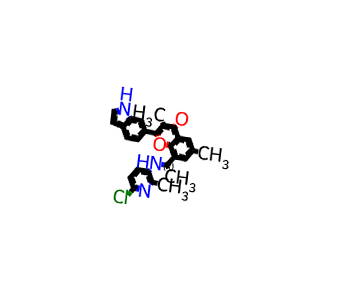 Cc1cc([C@@H](C)Nc2ccc(Cl)nc2C)c2oc(-c3ccc4cc[nH]c4c3)c(C)c(=O)c2c1